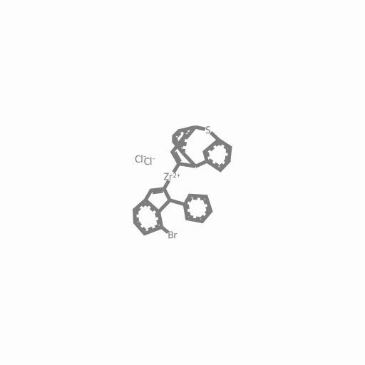 Brc1cccc2c1C(c1ccccc1)[C]([Zr+2][C]1=Cc3c4cccc3C1c1cccc(c1)S4)=C2.[Cl-].[Cl-]